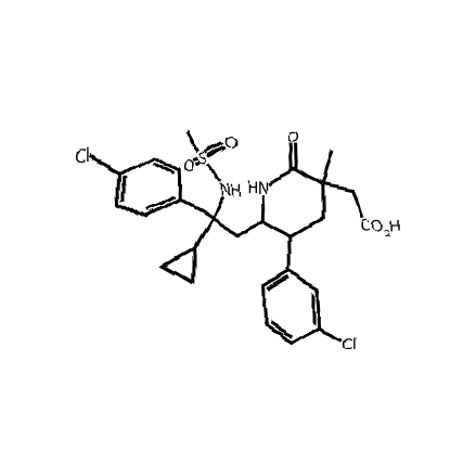 CC1(CC(=O)O)CC(c2cccc(Cl)c2)C(CC(NS(C)(=O)=O)(c2ccc(Cl)cc2)C2CC2)NC1=O